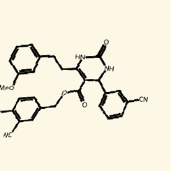 COc1cccc(CCC2=C(C(=O)OCc3ccc(F)c(C#N)c3)C(c3cccc(C#N)c3)NC(=O)N2)c1